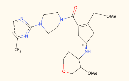 COCC1=C(C(=O)N2CCN(c3nccc(C(F)(F)F)n3)CC2)C[C@H](NC2CCOCC2OC)C1